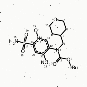 CC(C)(C)OC(=O)N(CC1CCOCC1)c1c[n+]([O-])c(S(N)(=O)=O)cc1[N+](=O)[O-]